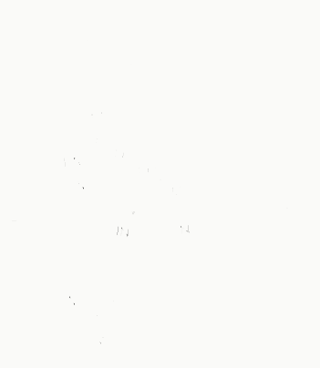 CN(C(=O)c1ccc2c(c1)N[C@H](CC(=O)O)C(=O)N(CCc1ccccc1)C2)c1ccc(C=NNC(=O)OCc2ccccc2)c(F)c1